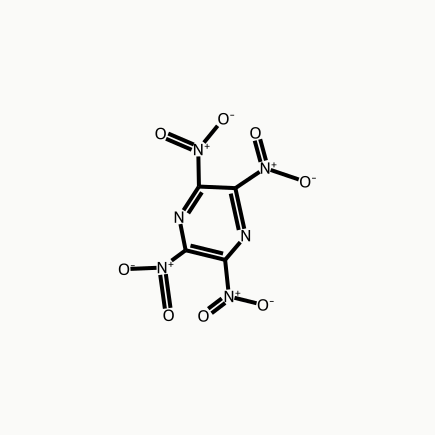 O=[N+]([O-])c1nc([N+](=O)[O-])c([N+](=O)[O-])nc1[N+](=O)[O-]